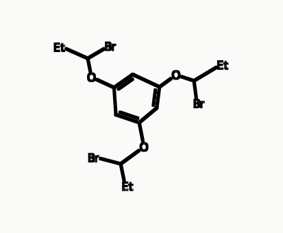 CCC(Br)Oc1cc(OC(Br)CC)cc(OC(Br)CC)c1